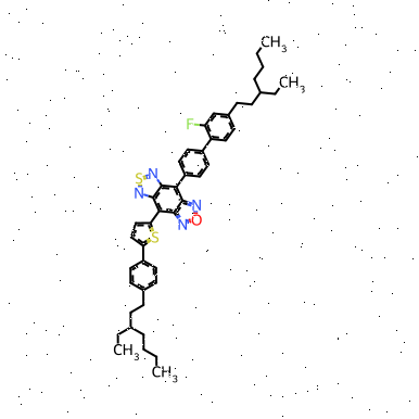 CCCCC(CC)CCc1ccc(-c2ccc(-c3c4c(c(-c5ccc(-c6ccc(CCC(CC)CCCC)cc6F)cc5)c5nonc35)N=S=N4)s2)cc1